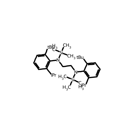 CC(C)c1cccc(C(C)(C)C)c1N(CCN(c1c(C(C)C)cccc1C(C)(C)C)[Si](C)(C)C)[Si](C)(C)C